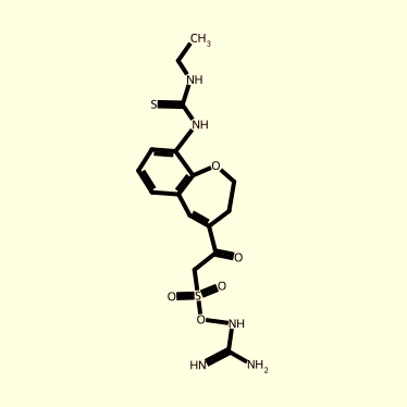 CCNC(=S)Nc1cccc2c1OCCC(C(=O)CS(=O)(=O)ONC(=N)N)=C2